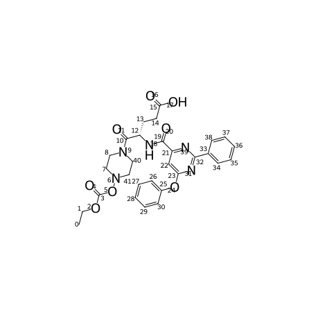 CCOC(=O)ON1CCN(C(=O)[C@H](CCC(=O)O)NC(=O)c2cc(Oc3ccccc3)nc(-c3ccccc3)n2)CC1